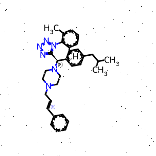 Cc1cccc(C)c1-n1nnnc1[C@@H](c1ccc(CC(C)C)cc1)N1CCN(C/C=C/c2ccccc2)CC1